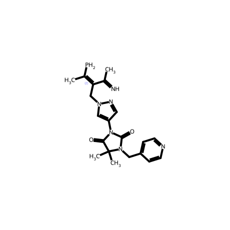 CC(=N)/C(Cn1cc(N2C(=O)N(Cc3ccncc3)C(C)(C)C2=O)cn1)=C(/C)P